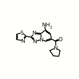 Nc1cc(C(=O)N2CCCC2)cn2nc(-c3nccs3)nc12